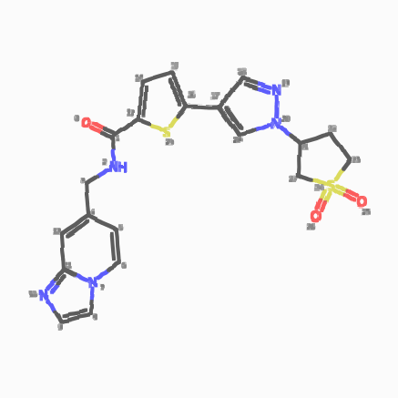 O=C(NCc1ccn2ccnc2c1)c1ccc(-c2cnn(C3CCS(=O)(=O)C3)c2)s1